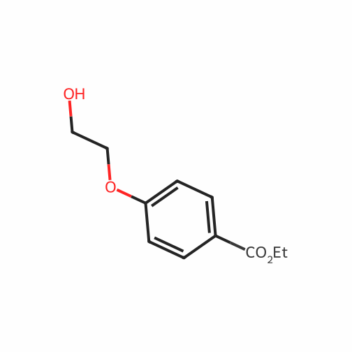 CCOC(=O)c1ccc(OCCO)cc1